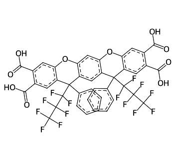 O=C(O)c1cc2c(cc1C(=O)O)C(c1ccccc1)(C(F)(F)C(F)(F)C(F)(F)F)c1cc3c(cc1O2)Oc1cc(C(=O)O)c(C(=O)O)cc1C3(c1ccccc1)C(F)(F)C(F)(F)C(F)(F)F